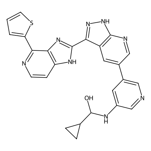 OC(Nc1cncc(-c2cnc3[nH]nc(-c4nc5c(-c6cccs6)nccc5[nH]4)c3c2)c1)C1CC1